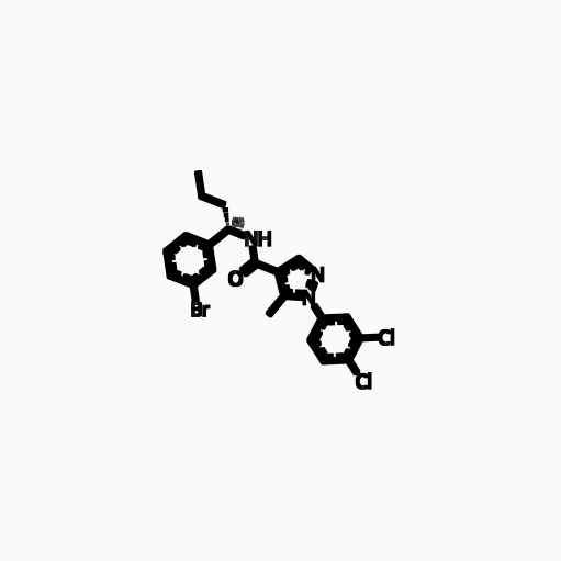 CCC[C@H](NC(=O)c1cnn(-c2ccc(Cl)c(Cl)c2)c1C)c1cccc(Br)c1